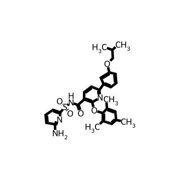 Cc1cc(C)c(Oc2nc(-c3cccc(OCC(C)C)c3)ccc2C(=O)NS(=O)(=O)c2cccc(N)n2)c(C)c1